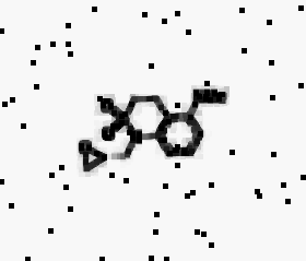 CNc1cccc2c1CCS(=O)(=O)N2C[C@@H]1CO1